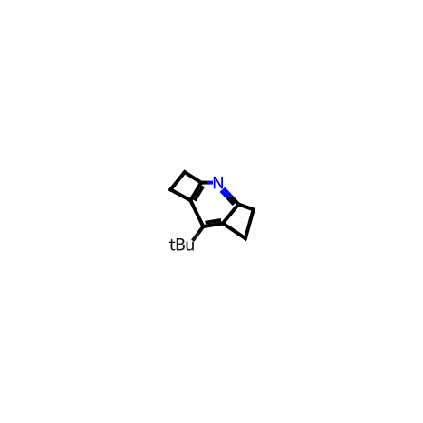 CC(C)(C)c1c2c(nc3c1CC3)CC2